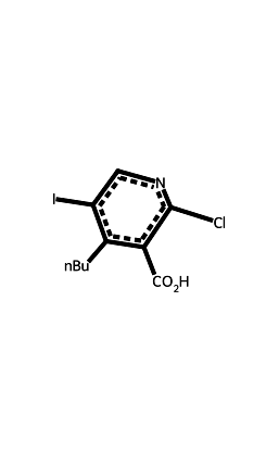 CCCCc1c(I)cnc(Cl)c1C(=O)O